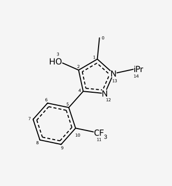 Cc1c(O)c(-c2ccccc2C(F)(F)F)nn1C(C)C